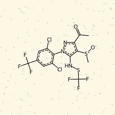 CC(=O)c1nn(-c2c(Cl)cc(C(F)(F)F)cc2Cl)c(NSC(F)(F)F)c1[S+](C)[O-]